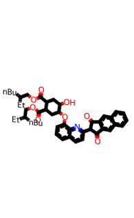 CCCCC(CC)COC(=O)C1CC(O)C(Oc2cccc3ccc(C4C(=O)c5cc6ccccc6cc5C4=O)nc23)CC1C(=O)OCC(CC)CCCC